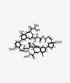 CCCN(CCC)C(=O)C1=Cc2c(C)cc(-c3ccc(C=O)c(/C=N\N(C)CC(=O)NNC4=Nc5cc(-c6ccc(C=O)c(/C=N\N(C)CC(=O)NC)c6)cc(Cl)c5C=C(C(=O)N(CCC)CCC)C4)c3)cc2N=C(N)C1